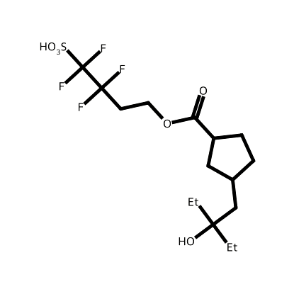 CCC(O)(CC)CC1CCC(C(=O)OCCC(F)(F)C(F)(F)S(=O)(=O)O)C1